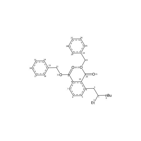 CCCCC(CC)Cc1cccc(C(=O)OCc2ccccc2)c1C(=O)OCc1ccccc1